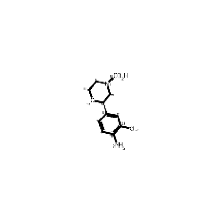 Nc1ccc([C@@H]2CN(C(=O)O)CCO2)cc1Cl